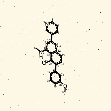 CNc1nc(-c2cccnc2)nc2ccc(-c3cccc(OC)c3)c(Cl)c12